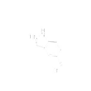 ClSc1ccc2c(c1)CNN2